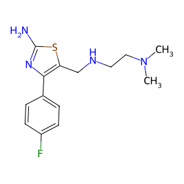 CN(C)CCNCc1sc(N)nc1-c1ccc(F)cc1